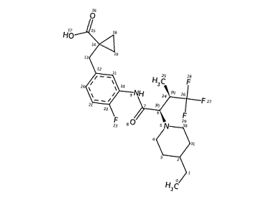 CCC1CCN([C@@H](C(=O)Nc2cc(CC3(C(=O)O)CC3)ccc2F)[C@@H](C)C(F)(F)F)CC1